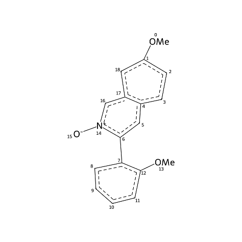 COc1ccc2cc(-c3ccccc3OC)[n+]([O-])cc2c1